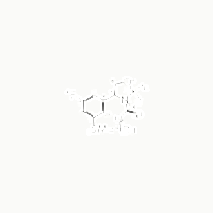 CSc1cc(F)cc(C2COC(C)(C)N2C(=O)OC(C)(C)C)c1